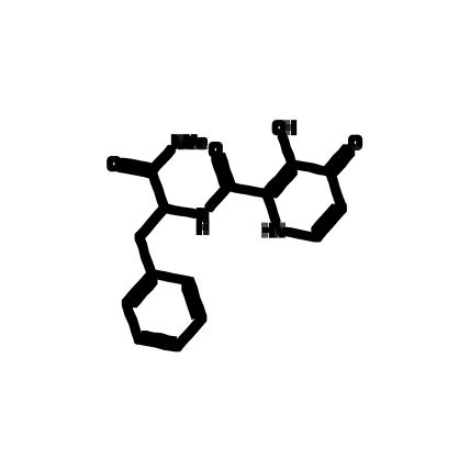 CNC(=O)C(Cc1ccccc1)NC(=O)c1[nH]ccc(=O)c1O